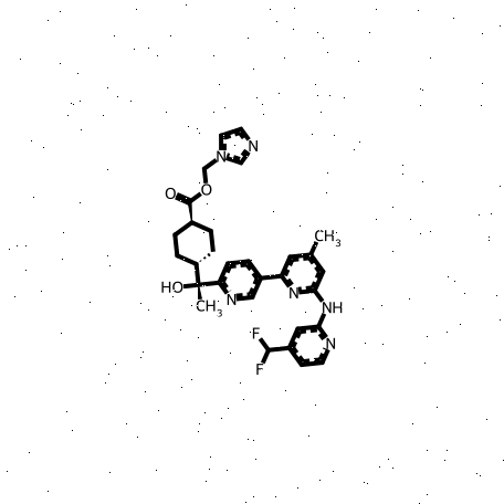 Cc1cc(Nc2cc(C(F)F)ccn2)nc(-c2ccc([C@](C)(O)[C@H]3CC[C@H](C(=O)OCn4ccnc4)CC3)nc2)c1